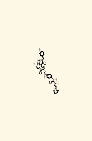 CCN1C(=O)[C@@H](CNc2ccc(NC(=O)NCCN3CCCC3)cc2)SC1[C@H](N)C(=O)NCc1ccc(F)cc1